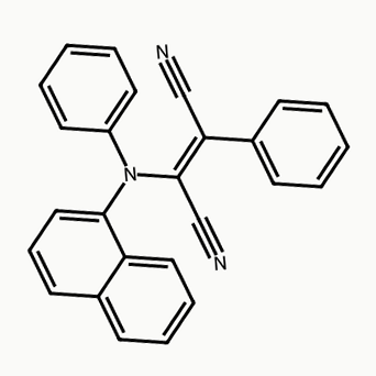 N#C/C(=C(/C#N)N(c1ccccc1)c1cccc2ccccc12)c1ccccc1